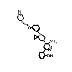 Nc1nnc(-c2ccccc2O)cc1N1CCN(c2cccc(OCCN3CCNCC3)c2)C2(CC2)C1